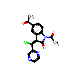 CC(=O)c1ccc2c(c1)/C(=C(\Cl)c1cnccn1)C(=O)N2C(C)=O